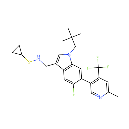 Cc1cc(C(F)(F)F)c(-c2cc3c(cc2F)c(CNSC2CC2)cn3CC(C)(C)C)cn1